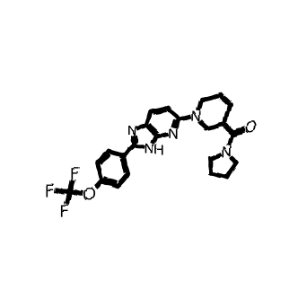 O=C(C1CCCN(c2ccc3nc(-c4ccc(OC(F)(F)F)cc4)[nH]c3n2)C1)N1CCCC1